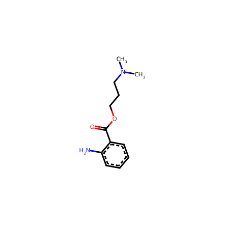 CN(C)CCCOC(=O)c1ccccc1N